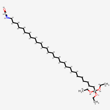 CCO[Si](CCCCCCCCCCCCCCCCCCCCCCCCCCCCCN=C=O)(OCC)OCC